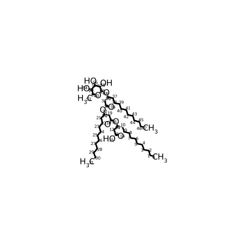 CCCCCCCCCCC[C@H](CC(=O)O)OC(=O)C[C@@H](CCCCCCCCCCC)OC(=O)C[C@@H](CCCCCCCCCCC)O[C@@H]1OC(C)[C@H](O)C(O)C1O